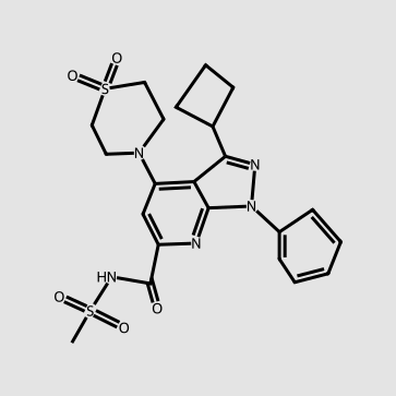 CS(=O)(=O)NC(=O)c1cc(N2CCS(=O)(=O)CC2)c2c(C3CCC3)nn(-c3ccccc3)c2n1